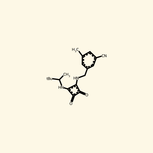 Cc1cc(C#N)cc(CNc2c(NC(C)C(C)(C)C)c(=O)c2=O)c1